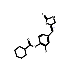 O=C1NC/C(=C/c2ccc(OC(=O)C3CCCCC3)c(Br)c2)S1